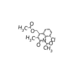 CC(=O)OCc1c(C)c(=O)n(C(C)=O)c2c(Cl)cccc12